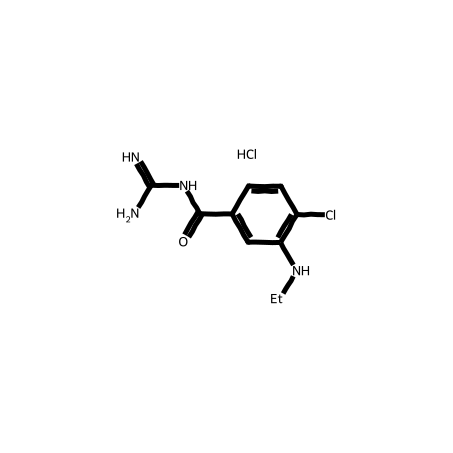 CCNc1cc(C(=O)NC(=N)N)ccc1Cl.Cl